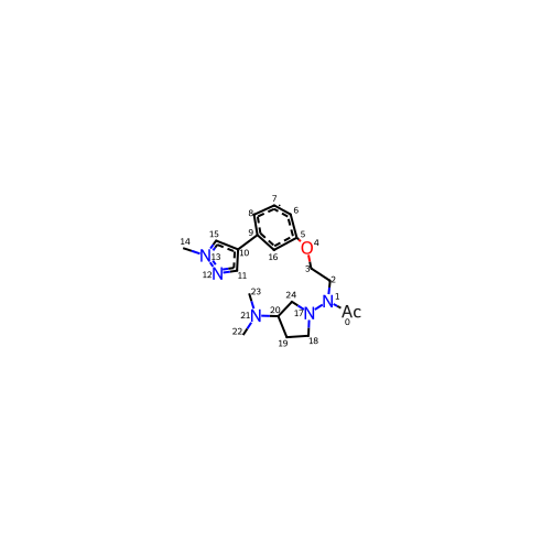 CC(=O)N(CCOc1c[c]cc(-c2cnn(C)c2)c1)N1CCC(N(C)C)C1